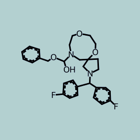 OC(OCc1ccccc1)N1CCOCCOC2(CCN(C(c3ccc(F)cc3)c3ccc(F)cc3)C2)C1